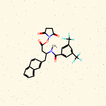 CN(C(=O)c1cc(C(F)(F)F)cc(C(F)(F)F)c1)C(CC(=O)ON1C(=O)CCC1=O)Cc1ccc2ccccc2c1